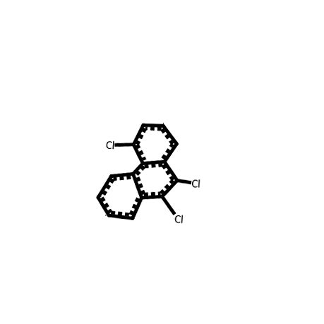 Clc1c(Cl)c2c[c]cc(Cl)c2c2cc[c]cc12